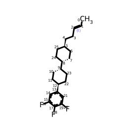 C/C=C/CC[C@H]1CC[C@H]([C@H]2CC[C@H](c3cc(F)c(F)c(F)c3)CC2)CC1